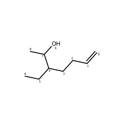 [CH]=CCCC(CC)C(C)O